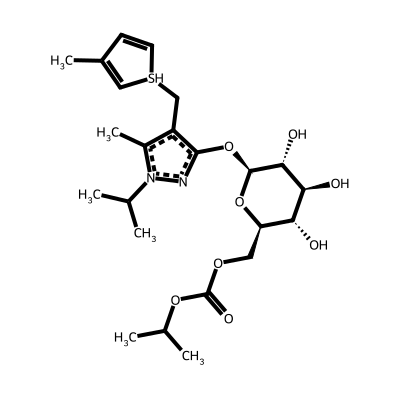 CC1=C[SH](Cc2c(O[C@@H]3O[C@H](COC(=O)OC(C)C)[C@@H](O)[C@H](O)[C@H]3O)nn(C(C)C)c2C)C=C1